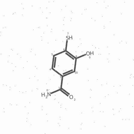 NC(=O)c1ccc(S)c(O)c1